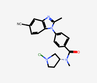 Cc1nc2cc(C#N)ccc2n1-c1ccc(C(=O)N(C)[C@@H]2CCN(Cl)C2)cc1